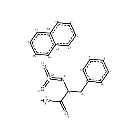 NC(=O)C(Cc1ccccc1)N=S(=O)=O.c1ccc2ccccc2c1